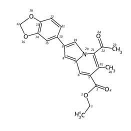 CCOC(=O)c1cc2cc(-c3ccc4c(c3)OCO4)cn2c(C(C)=O)c1C